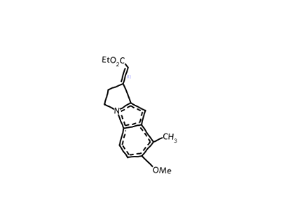 CCOC(=O)/C=C1\CCn2c1cc1c(C)c(OC)ccc12